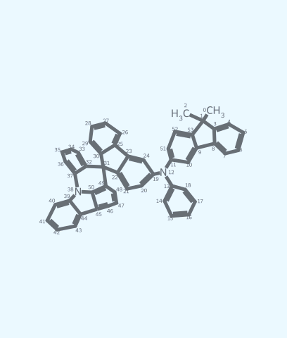 CC1(C)c2ccccc2-c2cc(N(c3ccccc3)c3ccc4c(c3)-c3ccccc3C43c4ccccc4-n4c5ccccc5c5cccc3c54)ccc21